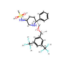 C[C@@H](OC[C@@]1(c2ccccc2)CCC(NS(C)(=O)=O)CN1)c1cc(C(F)(F)F)cc(C(F)(F)F)c1